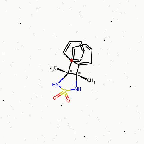 C[C@@]1(c2ccccc2)NS(=O)(=O)N[C@]1(C)c1ccccc1